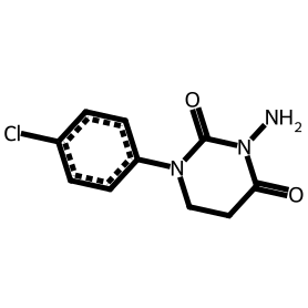 NN1C(=O)CCN(c2ccc(Cl)cc2)C1=O